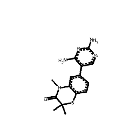 CN1C(=O)C(C)(C)Sc2ccc(-c3cnc(N)nc3N)cc21